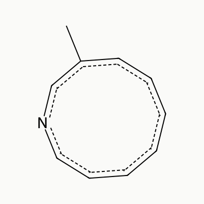 Cc1cccccccnc1